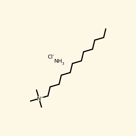 CCCCCCCCCCCC[N+](C)(C)C.N.[Cl-]